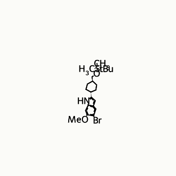 COc1cc2[nH]c([C@H]3CC[C@H](CO[Si](C)(C)C(C)(C)C)CC3)cc2cc1Br